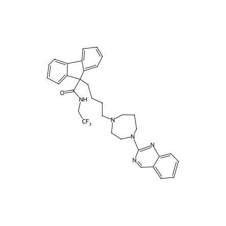 O=C(NCC(F)(F)F)C1(CCCCN2CCCN(c3ncc4ccccc4n3)CC2)c2ccccc2-c2ccccc21